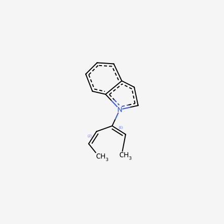 C/C=C\C(=C/C)n1ccc2ccccc21